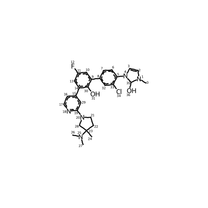 CN1C=CN(c2ccc(-c3cc(F)cc(-c4ccnc(N5CCC(C)(N(C)C)C5)c4)c3O)cc2Cl)C1O